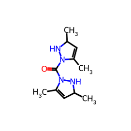 CC1=CC(C)NN1C(=O)N1NC(C)C=C1C